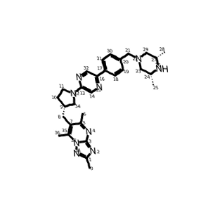 Cc1nc2nc(C)c(C[C@@H]3CCN(c4cnc(-c5ccc(CN6C[C@@H](C)N[C@@H](C)C6)cc5)cn4)C3)c(C)n2n1